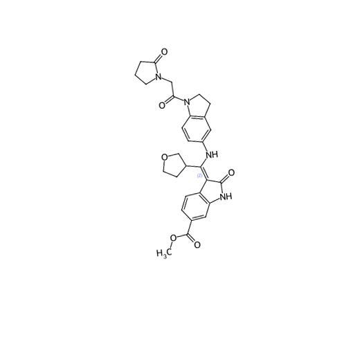 COC(=O)c1ccc2c(c1)NC(=O)/C2=C(\Nc1ccc2c(c1)CCN2C(=O)CN1CCCC1=O)C1CCOC1